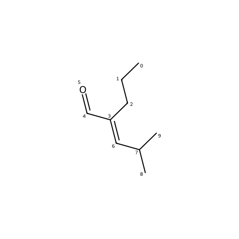 CCC/C(C=O)=C\C(C)C